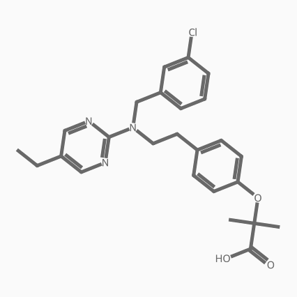 CCc1cnc(N(CCc2ccc(OC(C)(C)C(=O)O)cc2)Cc2cccc(Cl)c2)nc1